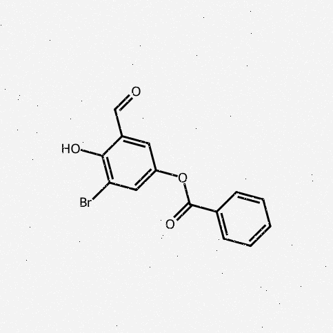 O=Cc1cc(OC(=O)c2ccccc2)cc(Br)c1O